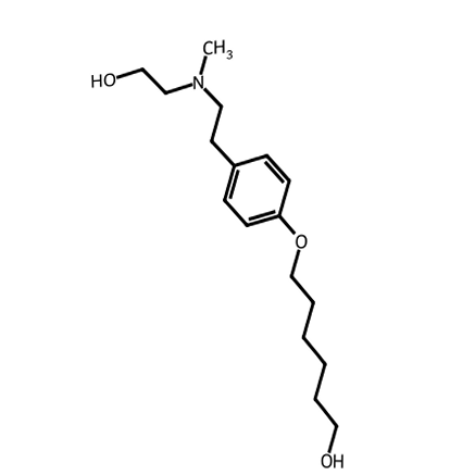 CN(CCO)CCc1ccc(OCCCCCCO)cc1